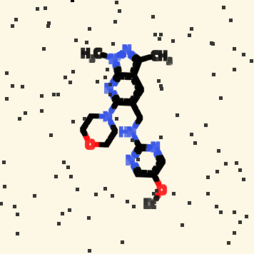 CCOc1cnc(NCc2cc3c(C)nn(C)c3nc2N2CCOCC2)nc1